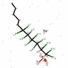 CCCCCC(F)(F)C(F)(F)C(F)(F)C(F)(F)C(F)(F)C(F)(F)S(=O)(=O)[O-].[Na+]